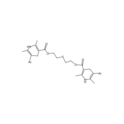 CC(=O)C1=C(C)NC(C)=C(C(=O)OCCSCCOC(=O)C2=C(C)NC(C)=C(C(C)=O)C2)C1